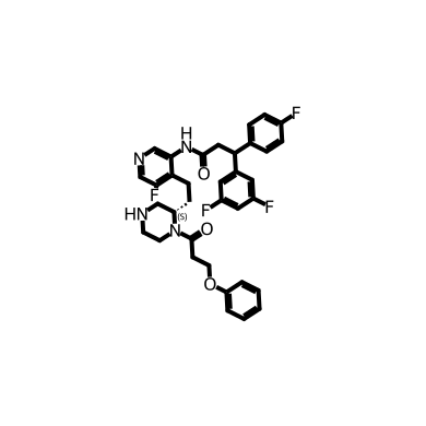 O=C(CC(c1ccc(F)cc1)c1cc(F)cc(F)c1)Nc1cncc(F)c1CC[C@H]1CNCCN1C(=O)CCOc1ccccc1